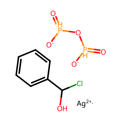 O=[PH]([O-])O[PH](=O)[O-].OC(Cl)c1ccccc1.[Ag+2]